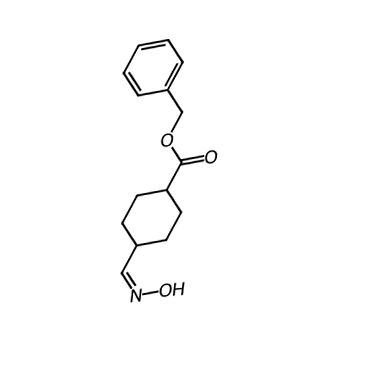 O=C(OCc1ccccc1)C1CCC(/C=N\O)CC1